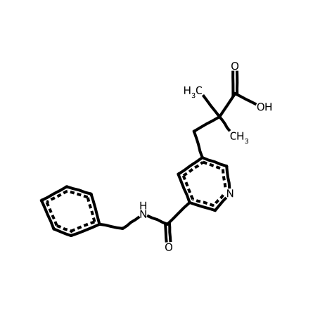 CC(C)(Cc1cncc(C(=O)NCc2ccccc2)c1)C(=O)O